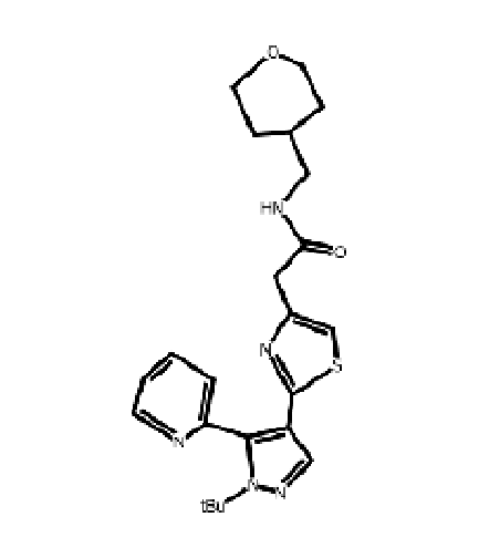 CC(C)(C)n1ncc(-c2nc(CC(=O)NCC3CCOCC3)cs2)c1-c1ccccn1